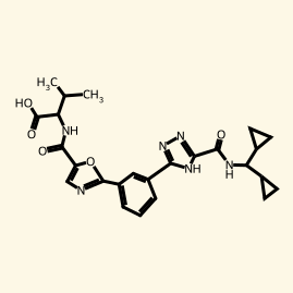 CC(C)C(NC(=O)c1cnc(-c2cccc(-c3nnc(C(=O)NC(C4CC4)C4CC4)[nH]3)c2)o1)C(=O)O